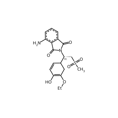 CCOC1=C(O)C=CC([C@@H](CS(C)(=O)=O)N2C(=O)c3cccc(N)c3C2=O)C1